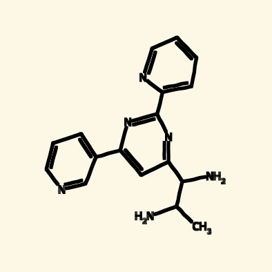 CC(N)C(N)c1cc(-c2cccnc2)nc(-c2ccccn2)n1